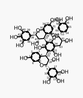 Oc1ccc2c(c1)O[C@@H](c1cc(O)c(O)c(O)c1)[C@@H](O)[C@@H]2c1c(O)c2c(c([C@@H]3c4c(O)cc(O)cc4O[C@H](c4cc(O)c(O)c(O)c4)[C@H]3O)c1O)O[C@H](c1ccc(O)c(O)c1)[C@@H](O)C2